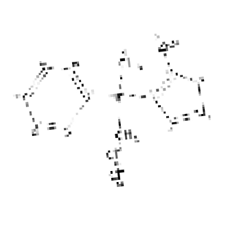 CC(C)(C1=[C]([Zr+2])CC=C1)c1ccccc1.[Cl-].[Cl-]